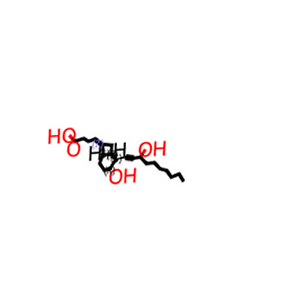 CCCCCCCC(O)C#C[C@@H]1[C@H]2C/C(=C/CCC(=O)O)[C@H]2CC[C@H]1O